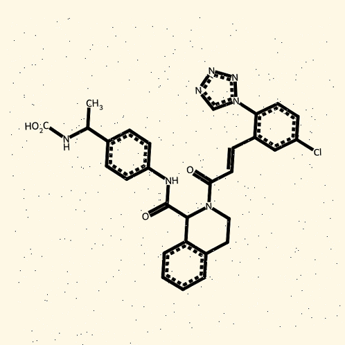 CC(NC(=O)O)c1ccc(NC(=O)C2c3ccccc3CCN2C(=O)C=Cc2cc(Cl)ccc2-n2cnnn2)cc1